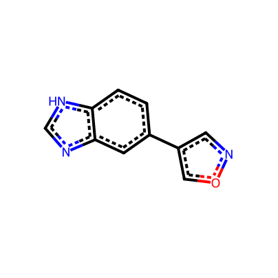 c1nc2cc(-c3cnoc3)ccc2[nH]1